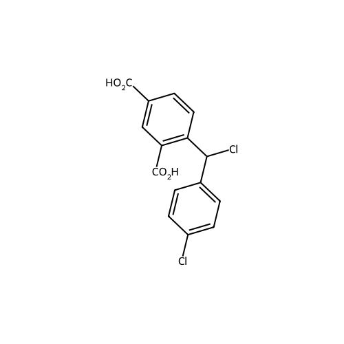 O=C(O)c1ccc(C(Cl)c2ccc(Cl)cc2)c(C(=O)O)c1